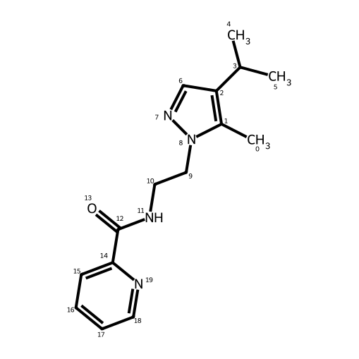 Cc1c(C(C)C)cnn1CCNC(=O)c1ccccn1